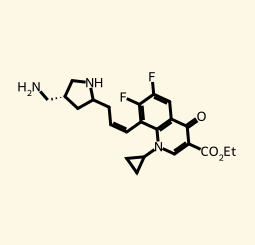 CCOC(=O)c1cn(C2CC2)c2c(/C=C\CC3C[C@H](CN)CN3)c(F)c(F)cc2c1=O